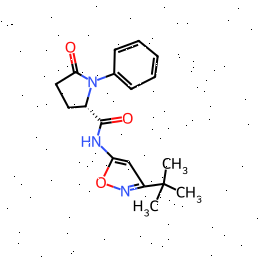 CC(C)(C)c1cc(NC(=O)[C@@H]2CCC(=O)N2c2ccccc2)on1